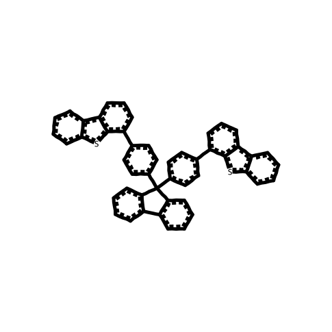 c1ccc2c(c1)-c1ccccc1C2(c1ccc(-c2cccc3c2sc2ccccc23)cc1)c1ccc(-c2cccc3c2sc2ccccc23)cc1